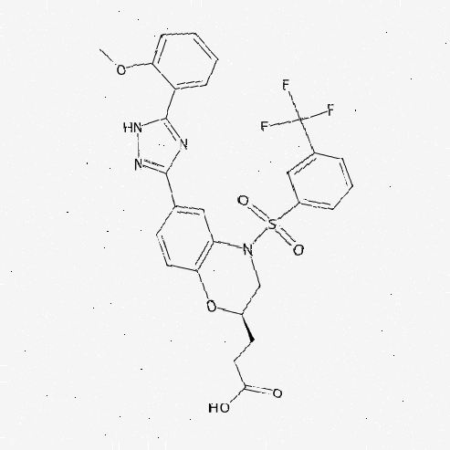 COc1ccccc1-c1nc(-c2ccc3c(c2)N(S(=O)(=O)c2cccc(C(F)(F)F)c2)C[C@@H](CCC(=O)O)O3)n[nH]1